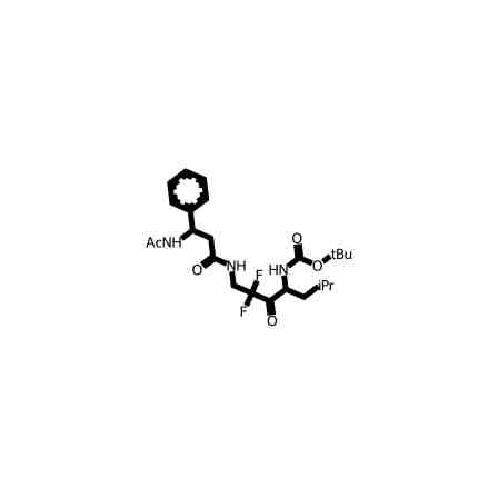 CC(=O)NC(CC(=O)NCC(F)(F)C(=O)C(CC(C)C)NC(=O)OC(C)(C)C)c1ccccc1